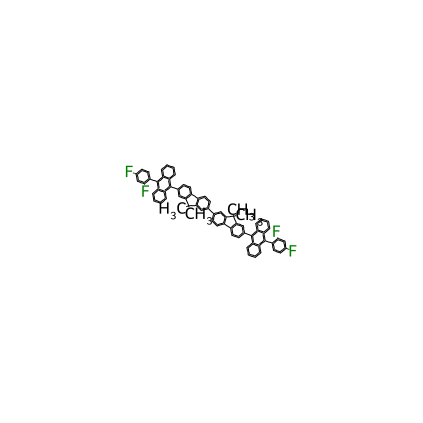 CC1(C)c2cc(-c3ccc4c(c3)C(C)(C)c3cc(-c5c6ccccc6c(-c6ccc(F)cc6F)c6ccccc56)ccc3-4)ccc2-c2ccc(-c3c4ccccc4c(-c4ccc(F)cc4F)c4ccccc34)cc21